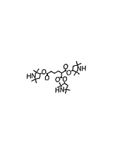 CC1(C)CC(OC(=O)CCCC(C(=O)OC2CC(C)(C)NC2(C)C)C(=O)OC2CC(C)(C)NC2(C)C)C(C)(C)N1